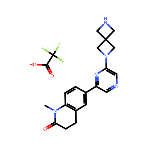 CN1C(=O)CCc2cc(-c3cncc(N4CC5(CNC5)C4)n3)ccc21.O=C(O)C(F)(F)F